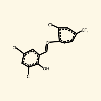 Oc1c(Cl)cc(Cl)cc1/C=N/c1ccc(C(F)(F)F)cc1Cl